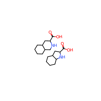 O=C(O)C1CC2CCCCC2CN1.O=C(O)C1CC2CCCCC2N1